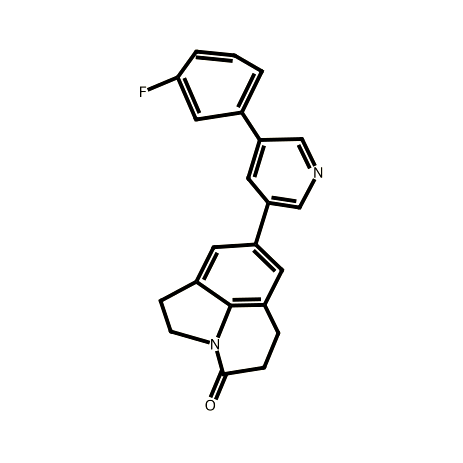 O=C1CCc2cc(-c3cncc(-c4cccc(F)c4)c3)cc3c2N1CC3